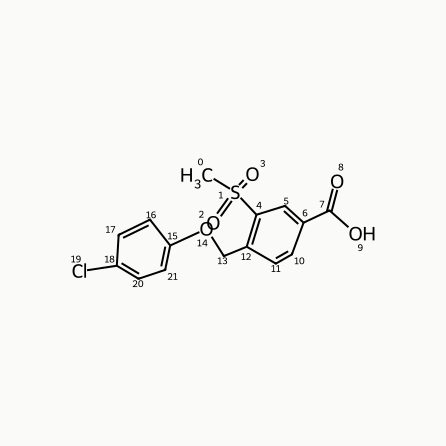 CS(=O)(=O)c1cc(C(=O)O)ccc1COc1ccc(Cl)cc1